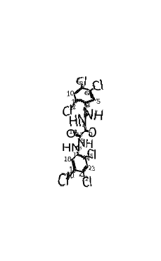 O=C(NNc1cc(Cl)c(Cl)cc1Cl)C(=O)NNc1cc(Cl)c(Cl)cc1Cl